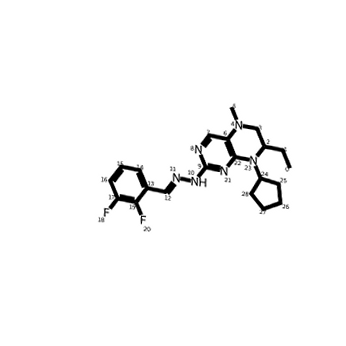 CCC1CN(C)c2cnc(N/N=C/c3cccc(F)c3F)nc2N1C1CCCC1